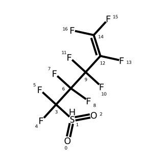 O=[SH](=O)C(F)(F)C(F)(F)C(F)(F)C(F)=C(F)F